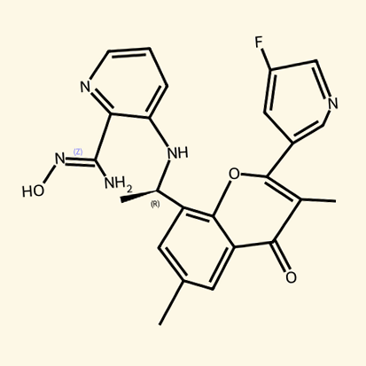 Cc1cc([C@@H](C)Nc2cccnc2/C(N)=N/O)c2oc(-c3cncc(F)c3)c(C)c(=O)c2c1